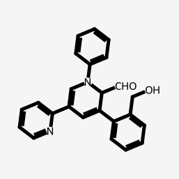 O=CC1C(c2ccccc2CO)=CC(c2ccccn2)=CN1c1ccccc1